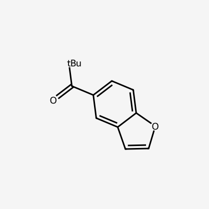 CC(C)(C)C(=O)c1ccc2occc2c1